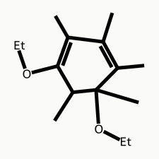 CCOC1=C(C)C(C)=C(C)C(C)(OCC)C1C